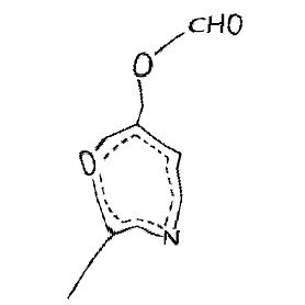 Cc1ncc(OC=O)o1